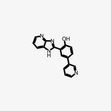 Oc1ccc(-c2cccnc2)cc1-c1nc2ncccc2[nH]1